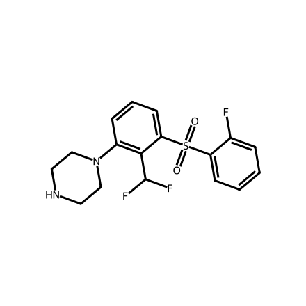 O=S(=O)(c1ccccc1F)c1cccc(N2CCNCC2)c1C(F)F